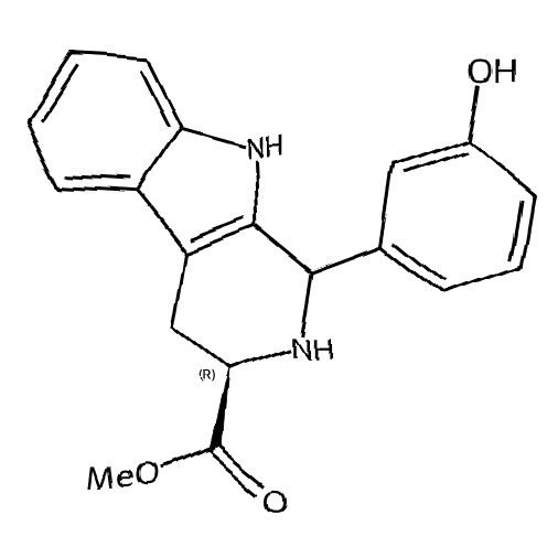 COC(=O)[C@H]1Cc2c([nH]c3ccccc23)C(c2cccc(O)c2)N1